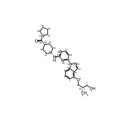 C[C@@H](CO)COc1cccc2c1cnn2-c1ccnc(N[C@H]2CC[C@H](C(=O)N3CCCC3)CC2)n1